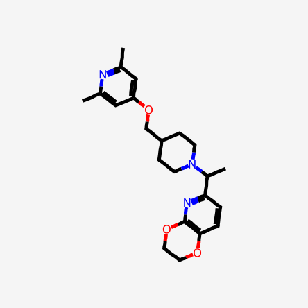 Cc1cc(OCC2CCN(C(C)c3ccc4c(n3)OCCO4)CC2)cc(C)n1